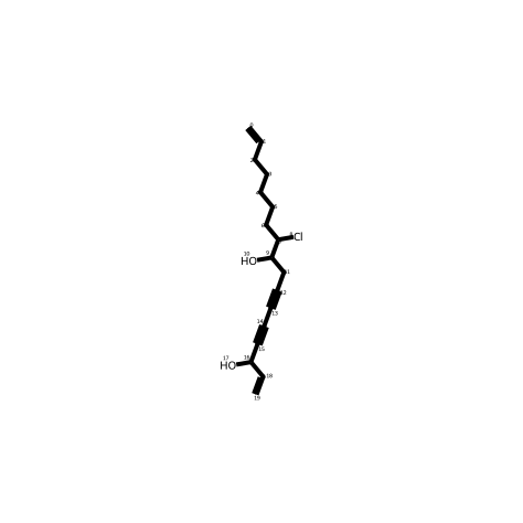 C=CCCCCCC(Cl)C(O)CC#CC#CC(O)C=C